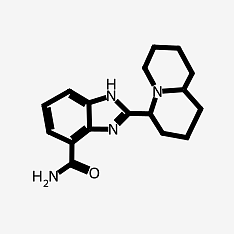 NC(=O)c1cccc2[nH]c(C3CCCC4CCCCN43)nc12